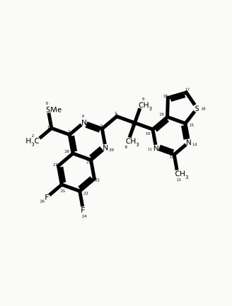 CSC(C)c1nc(CC(C)(C)c2nc(C)nc3sccc23)nc2cc(F)c(F)cc12